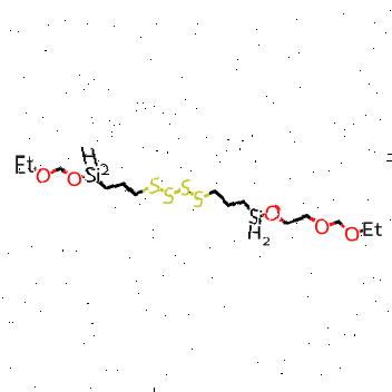 CCOCOCCO[SiH2]CCCSSSSCCC[SiH2]OCOCC